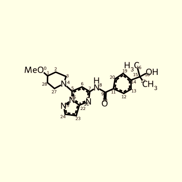 COC1CCN(c2cc(NC(=O)c3ccc(C(C)(C)O)cc3)nc3ccnn23)CC1